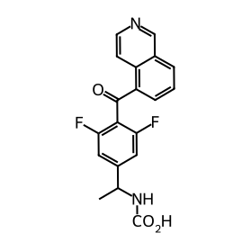 CC(NC(=O)O)c1cc(F)c(C(=O)c2cccc3cnccc23)c(F)c1